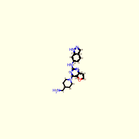 NCC1CCN(c2nc(Nc3ccc4cn[nH]c4c3)nc3ccoc23)CC1